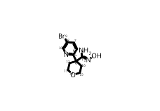 N/C(=N\O)C1(c2ccc(Br)cn2)CCOCC1